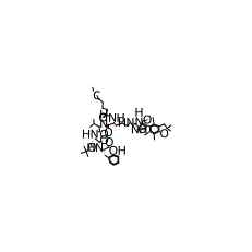 CCCCCCCC(=O)N[C@@H](CCCNC(=N)NS(=O)(=O)c1c(C)c(C)c2c(c1C)CC(C)(C)O2)C(=O)N[C@H](C(=O)N[C@@H](COC(C)(C)C)C(=O)N[C@@H](Cc1ccccc1)C(=O)O)C(C)C